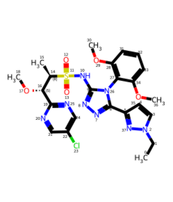 CCn1ccc(-c2nnc(NS(=O)(=O)[C@H](C)[C@@H](OC)c3ncc(Cl)cn3)n2-c2c(OC)cccc2OC)n1